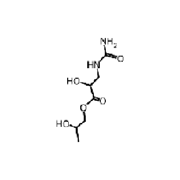 CC(O)COC(=O)C(O)CNC(N)=O